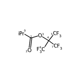 CC(C)C(=O)OC(C(F)(F)F)(C(F)(F)F)C(F)(F)F